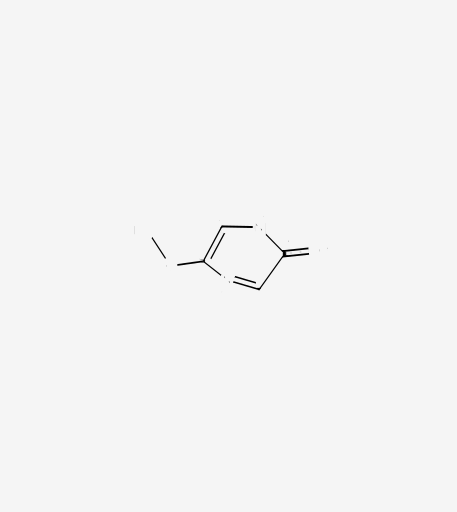 COc1c[nH]c(=O)cn1